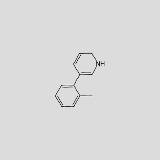 Cc1ccccc1C1=CNCC=C1